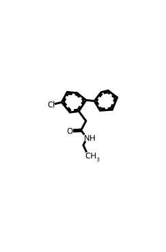 CCNC(=O)Cc1cc(Cl)ccc1-c1ccccc1